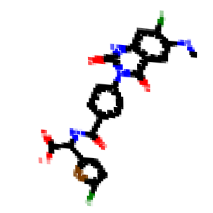 CNc1cc2c(=O)n(-c3ccc(C(=O)NC(C(=O)O)c4ccc(Cl)s4)cc3)c(=O)[nH]c2cc1F